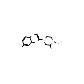 CC(C)C1CN(C2=CNC3C=CC(F)=CC3N2)CCN1N